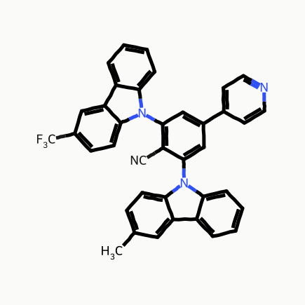 Cc1ccc2c(c1)c1ccccc1n2-c1cc(-c2ccncc2)cc(-n2c3ccccc3c3cc(C(F)(F)F)ccc32)c1C#N